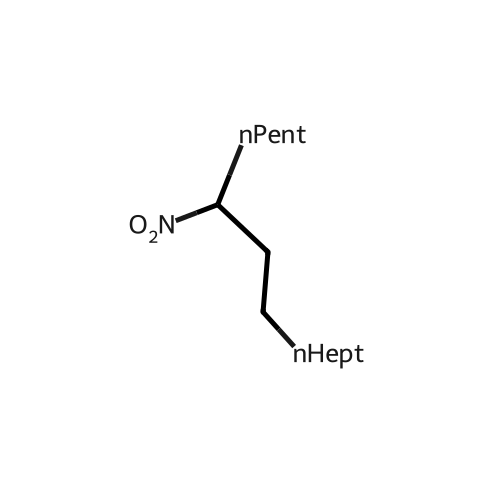 CCCCCCCCCC(CCCCC)[N+](=O)[O-]